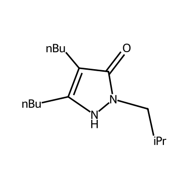 CCCCc1[nH]n(CC(C)C)c(=O)c1CCCC